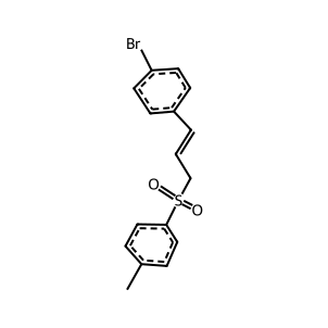 Cc1ccc(S(=O)(=O)C/C=C/c2ccc(Br)cc2)cc1